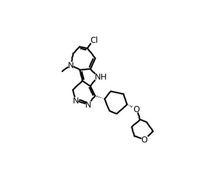 CN1CC=C(Cl)C=c2[nH]c3c(c21)CN=NC=3[C@H]1CC[C@@H](OC2CCOCC2)CC1